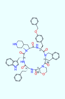 CN1C(=O)[C@@H](Cc2c[nH]c3ccccc23)NC(=O)[C@@H](CCc2ccccc2)NC(=O)[C@@H]2COCCN2C(=O)[C@@H]2Cc3ccccc3CN2C(=O)[C@H](Cc2ccc(OCc3ccccc3)cc2)NC(=O)C1CC1CCNCC1